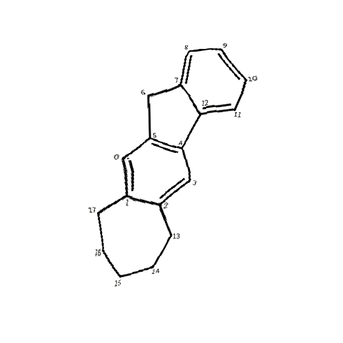 [c]1c2c(cc3c1Cc1ccccc1-3)CCCCC2